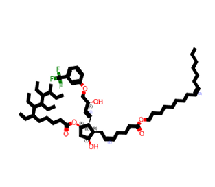 CCCCCC/C=C\CCCCCCCCOC(=O)CCC/C=C\C[C@@H]1[C@@H](/C=C/[C@@H](O)COc2cccc(C(F)(F)F)c2)[C@H](OC(=O)CCCCC(CC)C(CC)C(CC)C(CC)C(C)CC)C[C@@H]1O